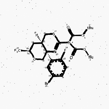 CC(C)(C)OC(=O)N(C(=O)OC(C)(C)C)C1=N[C@@]2(c3cc(Br)ccc3F)CO[C@@H](C(F)(F)F)C[C@H]2CS1